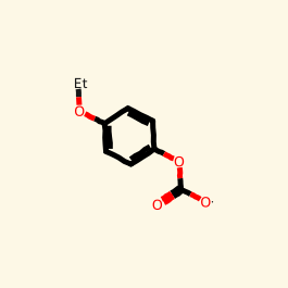 CCOc1ccc(OC([O])=O)cc1